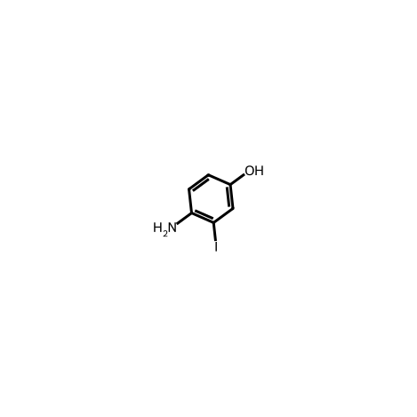 Nc1ccc(O)cc1I